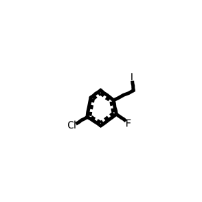 Fc1cc(Cl)ccc1CI